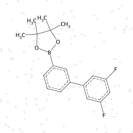 CC1(C)OB(c2cccc(-c3cc(F)cc(F)c3)c2)OC1(C)C